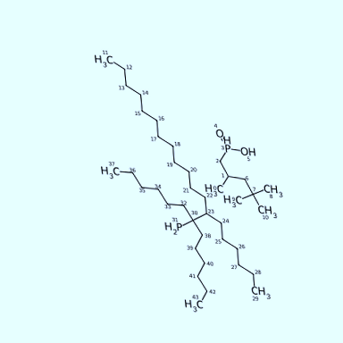 CC(C[PH](=O)O)CC(C)(C)C.CCCCCCCCCCCCC(CCCCCC)C(P)(CCCCCC)CCCCCC